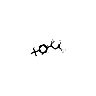 CC(C)(C)c1ccc(C(O)CC(=O)O)cc1